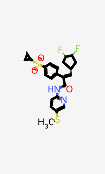 CSc1ccc(NC(=O)/C(=C/[C@H]2C[C@@H](F)[C@@H](F)C2)c2ccc(S(=O)(=O)C3CC3)cc2)nc1